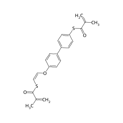 C=C(C)C(=O)S/C=C\Oc1ccc(-c2ccc(SC(=O)C(=C)C)cc2)cc1